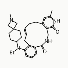 CCN(c1cccc2c1C/C=C/CCc1cc(C)[nH]c(=O)c1CNC2=O)C1CCC2(CC1)CN(C)C2